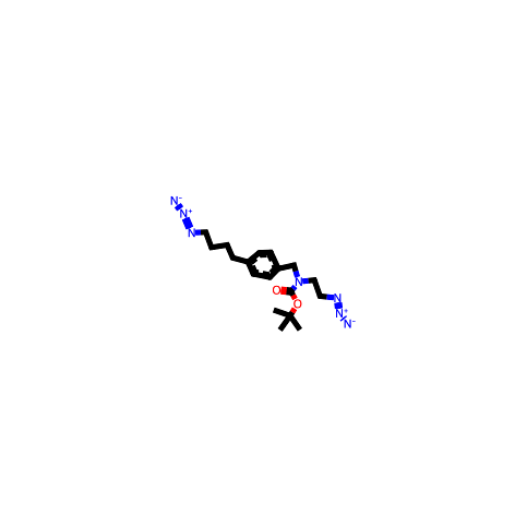 CC(C)(C)OC(=O)N(CCN=[N+]=[N-])Cc1ccc(CCCCN=[N+]=[N-])cc1